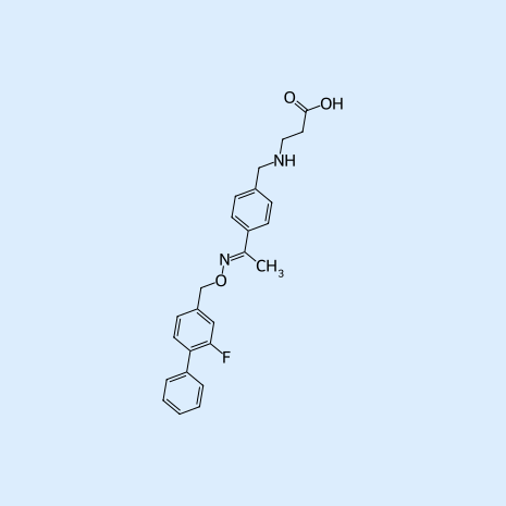 C/C(=N\OCc1ccc(-c2ccccc2)c(F)c1)c1ccc(CNCCC(=O)O)cc1